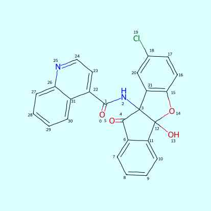 O=C(NC12C(=O)c3ccccc3C1(O)Oc1ccc(Cl)cc12)c1ccnc2ccccc12